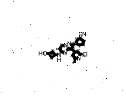 Cc1cc(-c2c(-c3cccc(C#N)c3)nn3ccc(NC45CC(O)(C4)C5)nc23)cc(Cl)n1